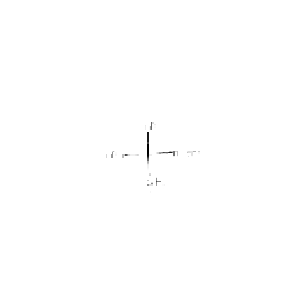 CCCCCC([SiH3])(CCCC)CCCC